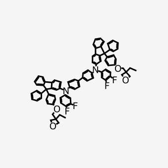 CCC1(COc2ccc(C3(c4ccccc4)c4ccccc4-c4ccc(N(c5ccc(-c6ccc(N(c7ccc(F)c(F)c7)c7ccc8c(c7)C(c7ccccc7)(c7ccc(OCC9(CC)COC9)cc7)c7ccccc7-8)cc6)cc5)c5ccc(F)c(F)c5)cc43)cc2)COC1